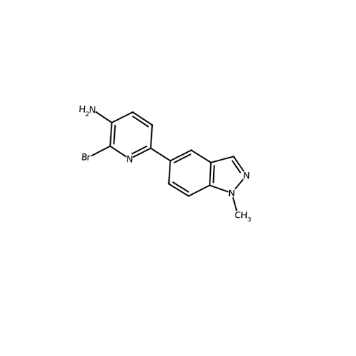 Cn1ncc2cc(-c3ccc(N)c(Br)n3)ccc21